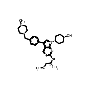 COC[C@H](C)Nc1ncc2c(-c3ccc(CN4CCN(C)CC4)cc3)cn([C@H]3CC[C@H](O)CC3)c2n1